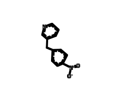 O=[N+]([O-])c1ccc(Cc2cccnc2)cc1